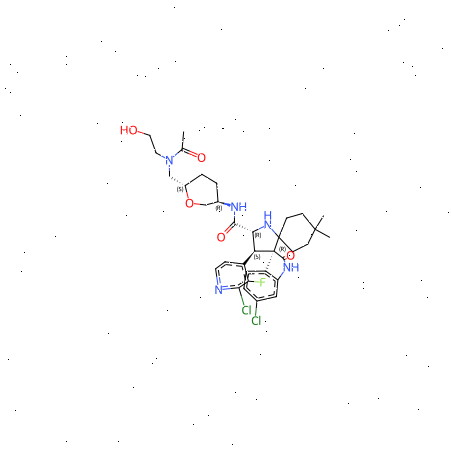 CC(=O)N(CCO)C[C@@H]1CC[C@@H](NC(=O)[C@@H]2NC3(CCC(C)(C)CC3)[C@@]3(C(=O)Nc4cc(Cl)ccc43)[C@H]2c2ccnc(Cl)c2F)CO1